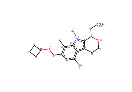 CCCn1c2c(c3c(C#N)cc(COC4CCC4)c(C)c31)CCOC2CC(=O)O